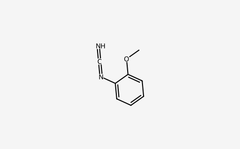 COc1ccccc1N=C=N